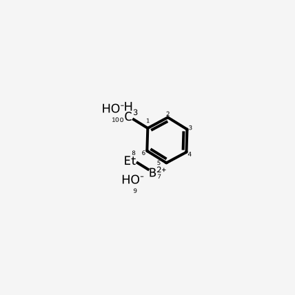 Cc1ccccc1.[B+2]CC.[OH-].[OH-]